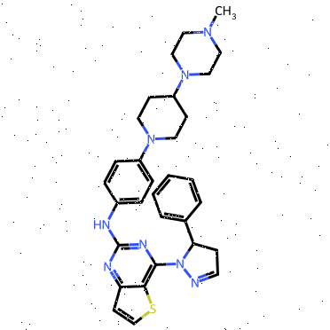 CN1CCN(C2CCN(c3ccc(Nc4nc(N5N=CCC5c5ccccc5)c5sccc5n4)cc3)CC2)CC1